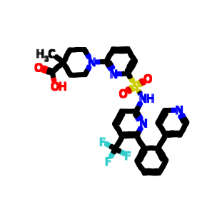 CC1(C(=O)O)CCN(c2cccc(S(=O)(=O)Nc3ccc(C(F)(F)F)c(-c4ccccc4-c4ccncc4)n3)n2)CC1